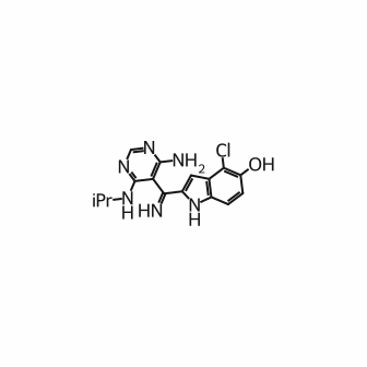 CC(C)Nc1ncnc(N)c1C(=N)c1cc2c(Cl)c(O)ccc2[nH]1